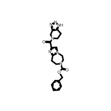 O=C(OCc1ccccc1)N1CCc2nc(C(=O)N3CCc4[nH]nnc4C3)cn2CC1